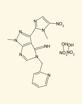 Cn1c([N+](=O)[O-])cnc1-c1nn(C)c2ncn(Cc3ccccn3)c(=N)c12.O=[N+]([O-])O.O=[N+]([O-])O